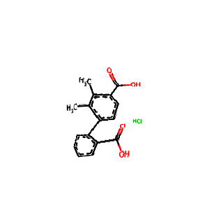 Cc1c(C(=O)O)ccc(-c2ccccc2C(=O)O)c1C.Cl